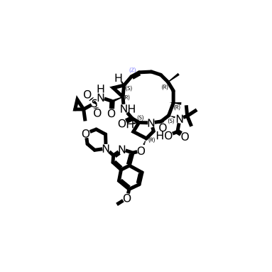 COc1ccc2c(O[C@@H]3C[C@H]4C(=O)N[C@]5(C(=O)NS(=O)(=O)C6(C)CC6)C[C@H]5/C=C\CC[C@@H](C)C[C@@H](C)[C@H](N(C(=O)O)C(C)(C)C)C(=O)N4C3)nc(N3CCOCC3)cc2c1